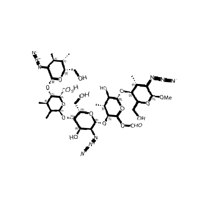 CO[C@H]1OC(CO)[C@@H](O[C@@H]2OC(OC=O)[C@@H](O[C@H]3O[C@@H](CO)[C@@H](O[C@@H]4O[C@@H](C(=O)O)[C@@H](O[C@H]5O[C@@H](CO)[C@@H](C)[C@H](C)C5N=[N+]=[N-])[C@H](C)C4C)[C@H](O)C3N=[N+]=[N-])[C@H](C)C2O)[C@H](C)C1N=[N+]=[N-]